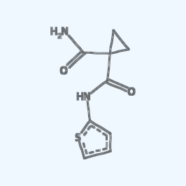 NC(=O)C1(C(=O)Nc2cccs2)CC1